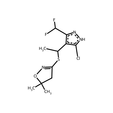 CC(SC1=NOC(C)(C)C1)c1c(C(F)F)n[nH]c1Cl